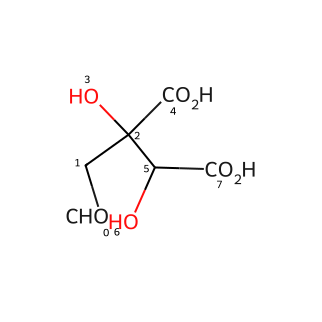 O=CCC(O)(C(=O)O)C(O)C(=O)O